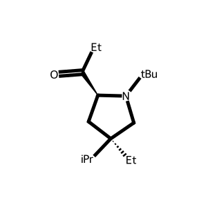 CCC(=O)[C@@H]1C[C@](CC)(C(C)C)CN1C(C)(C)C